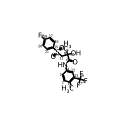 Cc1ccc(NC(=O)C(C)(O)CS(=O)(=O)c2ccc(F)cc2)cc1C(F)(F)F